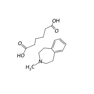 CN1CCc2ccccc2CC1.O=C(O)CCCCC(=O)O